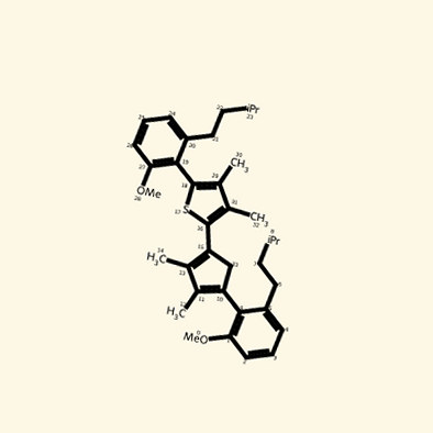 COc1cccc(CCC(C)C)c1C1=C(C)C(C)=C(c2sc(-c3c(CCC(C)C)cccc3OC)c(C)c2C)C1